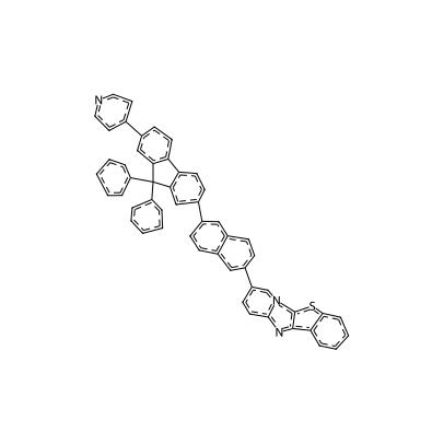 c1ccc(C2(c3ccccc3)c3cc(-c4ccncc4)ccc3-c3ccc(-c4ccc5cc(-c6ccc7nc8c9ccccc9sc8n7c6)ccc5c4)cc32)cc1